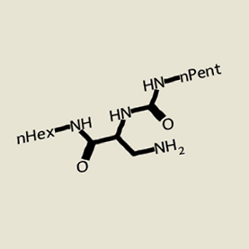 CCCCCCNC(=O)C(CN)NC(=O)NCCCCC